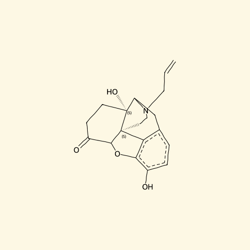 C=CCN1CC[C@]23c4c5ccc(O)c4OC2C(=O)CC[C@@]3(O)C1C5